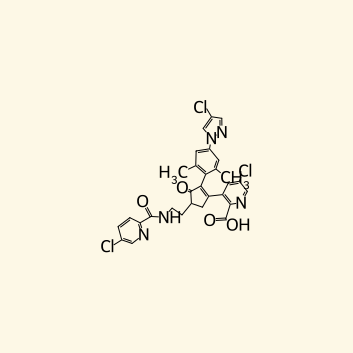 Cc1cc(-n2cc(Cl)cn2)cc(C)c1C1=C(c2cc(Cl)cnc2C(=O)O)CC(CCNC(=O)c2ccc(Cl)cn2)C1=O